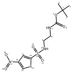 CC(C)(C)OC(=O)NCCNS(=O)(=O)c1cc([N+](=O)[O-])cs1